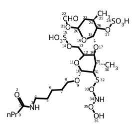 CCCC(=O)NCCCCCO[C@@H]1OC(COS(=O)(=O)O)[C@@H](O[C@@H]2OC(OC=O)C[C@@H](C)C2OS(=O)(=O)O)[C@H](C)C1SONOO